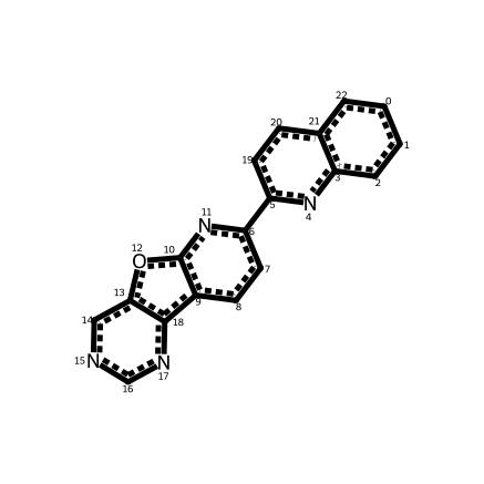 c1ccc2nc(-c3ccc4c(n3)oc3cncnc34)ccc2c1